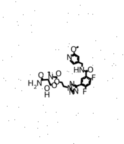 COc1cc(CNC(=O)c2cc(-c3nnn(CCOC(=O)N(C)C(C(N)=O)C(=O)O)n3)c(F)cc2F)ccn1